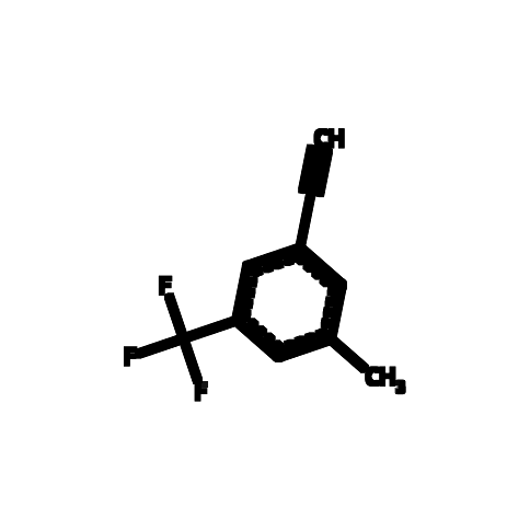 C#Cc1cc(C)cc(C(F)(F)F)c1